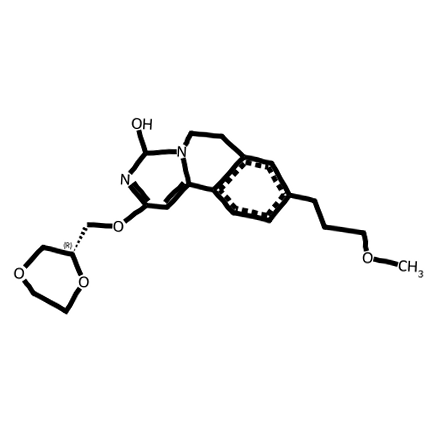 COCCCc1ccc2c(c1)CCN1C2=CC(OC[C@H]2COCCO2)=NC1O